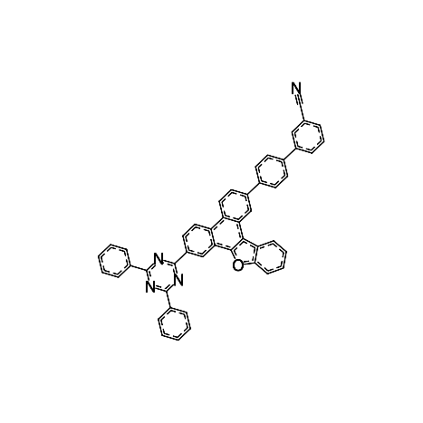 N#Cc1cccc(-c2ccc(-c3ccc4c5ccc(-c6nc(-c7ccccc7)nc(-c7ccccc7)n6)cc5c5oc6ccccc6c5c4c3)cc2)c1